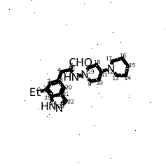 CCc1cc(CC(C=O)NN2CCC(N3CCCCC3)CC2)cc2cn[nH]c12